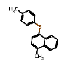 Cc1ccc(Sc2ccc(C)c3ccccc23)cc1